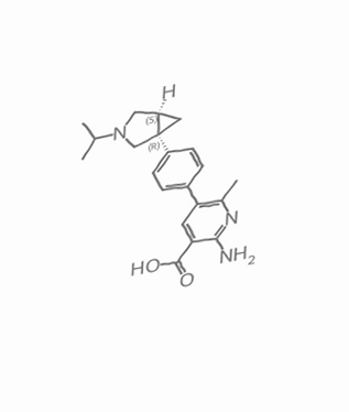 Cc1nc(N)c(C(=O)O)cc1-c1ccc([C@@]23C[C@@H]2CN(C(C)C)C3)cc1